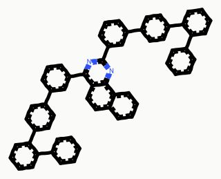 c1ccc(-c2ccccc2-c2ccc(-c3cccc(-c4nc(-c5cccc(-c6ccc(-c7ccccc7-c7ccccc7)cc6)c5)c5ccc6ccccc6c5n4)c3)cc2)cc1